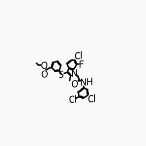 CCOC(=O)c1cccc(Sc2c(C)n(CC(=O)Nc3cc(Cl)cc(Cl)c3)c3c(F)c(Cl)ccc23)c1